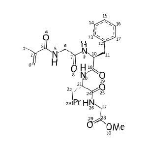 C=C(C)C(=O)NCC(=O)N[C@@H](Cc1ccccc1)C(=O)N[C@@H](CC(C)C)C(=O)NCC(=O)OC